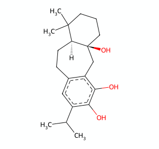 CC(C)c1cc2c(c(O)c1O)C[C@@]1(O)CCCC(C)(C)[C@@H]1CC2